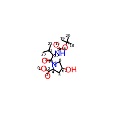 COC(=O)C1C[C@H](O)CN1C(=O)[C@@H](NC(=O)OC(C)(C)C)C(C)C